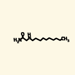 CCCCCCCCCCNCC(N)=O